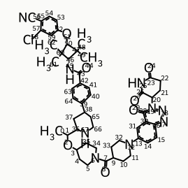 CC(OC1CCN(C(=O)C2CCN(c3ccc4nnn(C5CCC(=O)NC5=O)c(=O)c4c3)CC2)CC1)C1CC(c2ccc(C(=O)N[C@H]3C(C)(C)[C@H](Oc4ccc(C#N)c(Cl)c4)C3(C)C)cc2)CCN1